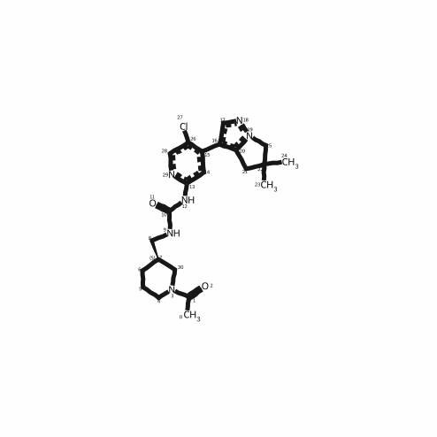 CC(=O)N1CCC[C@@H](CNC(=O)Nc2cc(-c3cnn4c3CC(C)(C)C4)c(Cl)cn2)C1